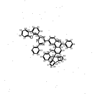 c1ccc(-c2nc(-c3ccc4nc(-c5ccccc5)c5ccc6c(c5c4c3)Sc3ccccc3C63c4ccccc4-c4ccccc43)nc(-c3cccc4c3oc3ccccc34)n2)cc1